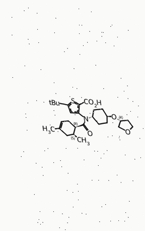 CC1=CC[C@@H](C(=O)N(c2cc(C(C)(C)C)sc2C(=O)O)[C@H]2CC[C@H](O[C@@H]3CCOC3)CC2)[C@@H](C)C1